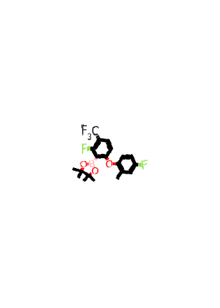 Cc1cc(F)ccc1Oc1ccc(C(F)(F)F)c(F)c1B1OC(C)(C)C(C)(C)O1